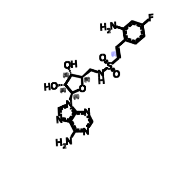 Nc1cc(F)ccc1/C=C/S(=O)(=O)NC[C@H]1O[C@@H](n2cnc3c(N)ncnc32)[C@H](O)[C@@H]1O